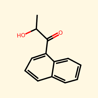 CC(O)C(=O)c1cccc2ccccc12